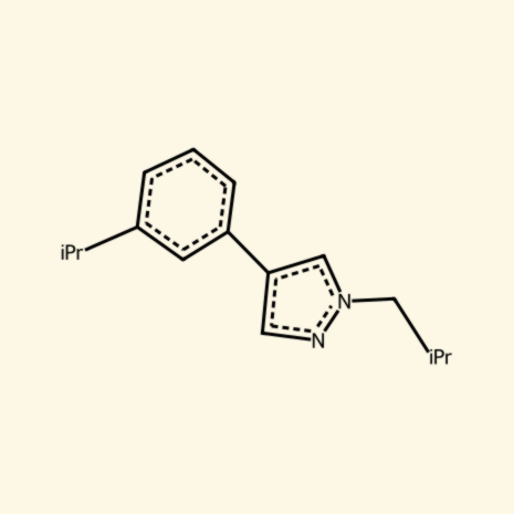 CC(C)Cn1cc(-c2cccc(C(C)C)c2)cn1